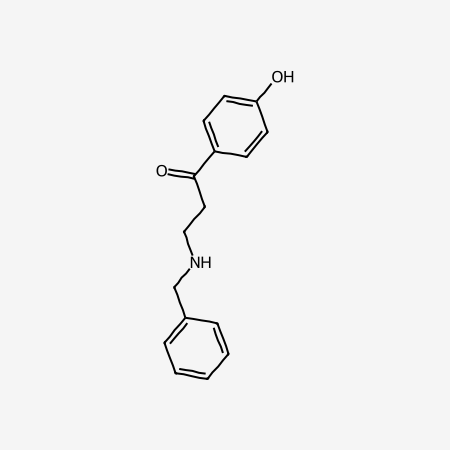 O=C(CCNCc1ccccc1)c1ccc(O)cc1